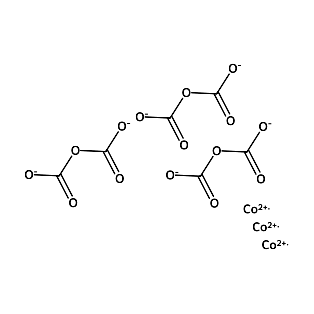 O=C([O-])OC(=O)[O-].O=C([O-])OC(=O)[O-].O=C([O-])OC(=O)[O-].[Co+2].[Co+2].[Co+2]